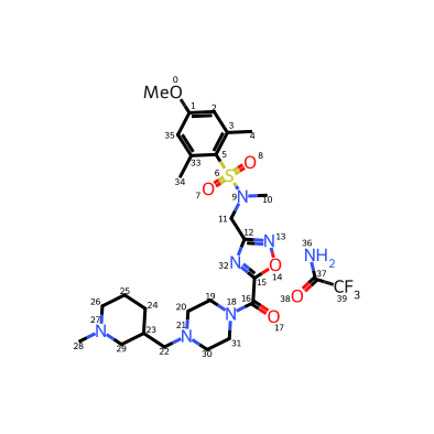 COc1cc(C)c(S(=O)(=O)N(C)Cc2noc(C(=O)N3CCN(CC4CCCN(C)C4)CC3)n2)c(C)c1.NC(=O)C(F)(F)F